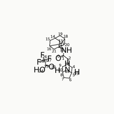 O=C(C[C@H]1C[C@H]2CC[C@@H](C1)N2)NC12CC3CC(CC(C3)C1)C2.O=C(O)C(F)(F)F